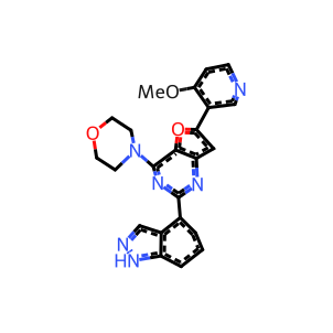 COc1ccncc1-c1cc2nc(-c3cccc4[nH]ncc34)nc(N3CCOCC3)c2o1